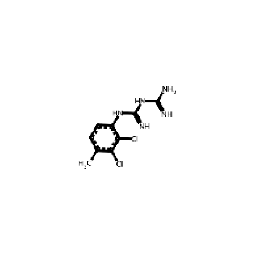 Cc1ccc(NC(=N)NC(=N)N)c(Cl)c1Cl